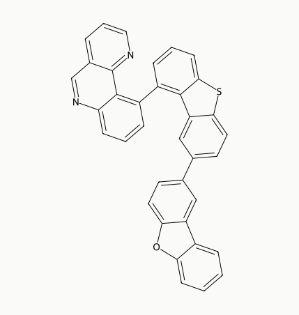 c1cnc2c(c1)cnc1cccc(-c3cccc4sc5ccc(-c6ccc7oc8ccccc8c7c6)cc5c34)c12